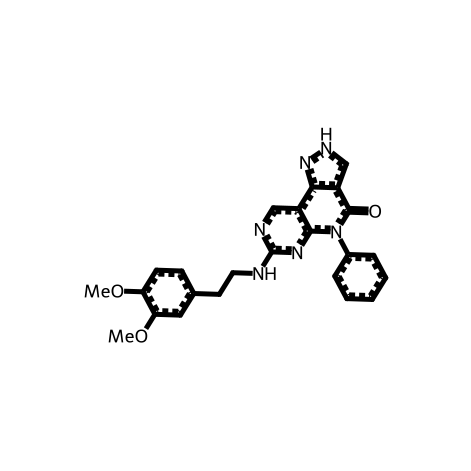 COc1ccc(CCNc2ncc3c4n[nH]cc4c(=O)n(-c4ccccc4)c3n2)cc1OC